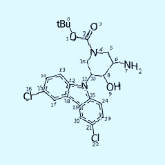 CC(C)(C)OC(=O)N1CC(N)C(O)C(n2c3ccc(Cl)cc3c3cc(Cl)ccc32)C1